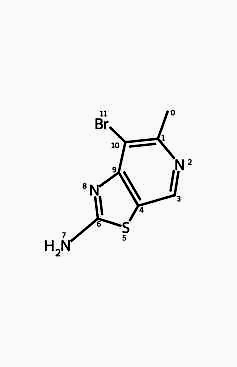 Cc1ncc2sc(N)nc2c1Br